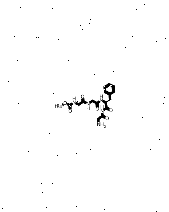 CC(C)(C)OC(=O)NCC(=O)NCC(=O)N[C@@H](Cc1ccccc1)C(=O)NC(=O)CN